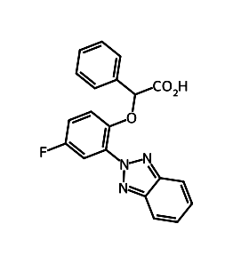 O=C(O)C(Oc1ccc(F)cc1-n1nc2ccccc2n1)c1ccccc1